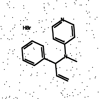 Br.C=CC(c1ccccc1)N(C)c1ccncc1